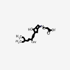 CCC(CC)CCC(O)C#CC1CC2/C(=N\OCC(=O)O)CC2C1O